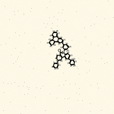 O=c1c2ccc(-c3ccccc3)cc2c2cc(-c3ccccc3)ccc2n1-c1cccc(-c2ccc3c4ccccc4c4ccccc4c3c2)c1